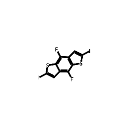 Fc1c2cc(I)sc2c(F)c2cc(I)sc12